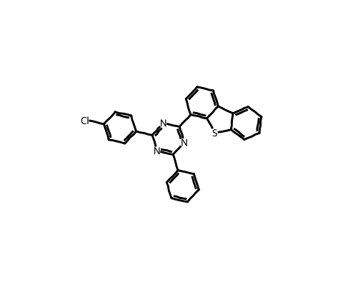 Clc1ccc(-c2nc(-c3ccccc3)nc(-c3cccc4c3sc3ccccc34)n2)cc1